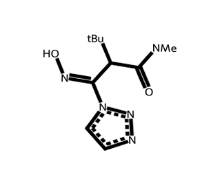 CNC(=O)C(C(=NO)n1ccnn1)C(C)(C)C